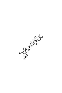 O=C1CCC(N2Cc3ccc(COC(=O)Nc4cc(Cl)cc(OC(F)(F)F)c4)cc3C2=O)C(=O)N1